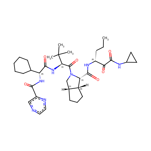 CCC[C@@H](NC(=O)[C@@H]1[C@@H]2CCC[C@@H]2CN1C(=O)[C@@H](NC(=O)[C@H](NC(=O)c1cnccn1)C1CCCCC1)C(C)(C)C)C(=O)C(=O)NC1CC1